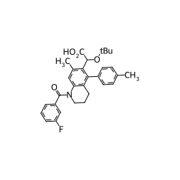 Cc1ccc(-c2c3c(cc(C)c2C(OC(C)(C)C)C(=O)O)N(C(=O)c2cccc(F)c2)CCC3)cc1